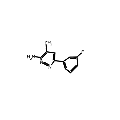 Cc1cc(-c2cccc(F)c2)nnc1N